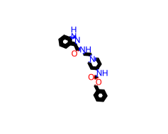 O=C(NC1CCN(CCNC(=O)c2n[nH]c3ccccc23)CC1)OCc1ccccc1